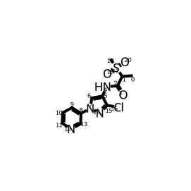 CC(C(=O)Nc1cn(-c2cccnc2)nc1Cl)S(C)(=O)=O